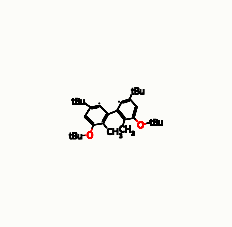 Cc1c(-c2[c]c(C(C)(C)C)cc(OC(C)(C)C)c2C)[c]c(C(C)(C)C)cc1OC(C)(C)C